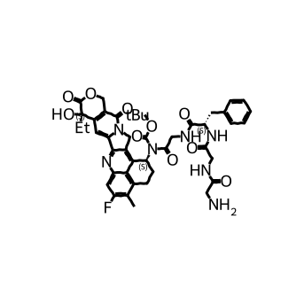 CC[C@@]1(O)C(=O)OCc2c1cc1n(c2=O)Cc2c-1nc1cc(F)c(C)c3c1c2[C@@H](N(C(=O)CNC(=O)[C@H](Cc1ccccc1)NC(=O)CNC(=O)CN)C(=O)OC(C)(C)C)CC3